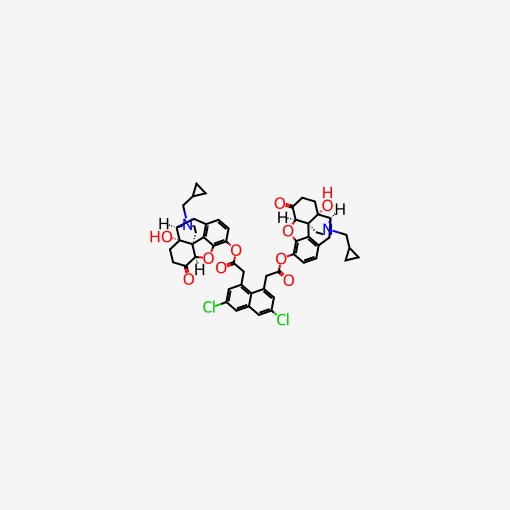 O=C(Cc1cc(Cl)cc2cc(Cl)cc(CC(=O)Oc3ccc4c5c3O[C@H]3C(=O)CC[C@@]6(O)[C@@H](C4)N(CC4CC4)CC[C@]536)c12)Oc1ccc2c3c1O[C@H]1C(=O)CC[C@@]4(O)[C@@H](C2)N(CC2CC2)CC[C@]314